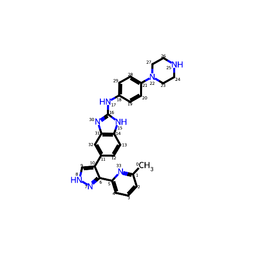 Cc1cccc(-c2n[nH]cc2-c2ccc3[nH]c(Nc4ccc(N5CCNCC5)cc4)nc3c2)n1